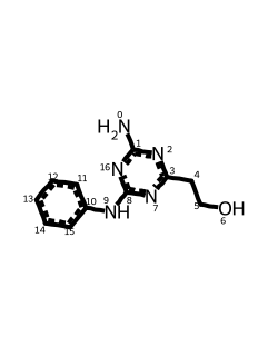 Nc1nc(CCO)nc(Nc2ccccc2)n1